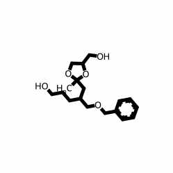 CC1(CC(CCCO)COCc2ccccc2)OCC(CO)O1